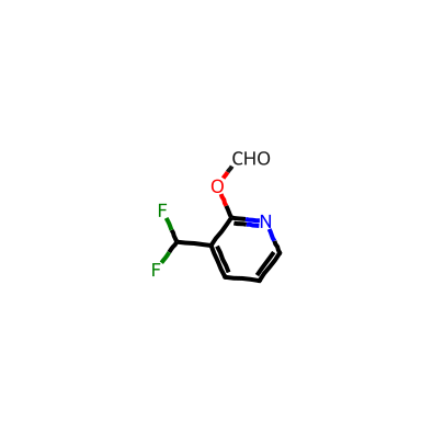 O=COc1ncccc1C(F)F